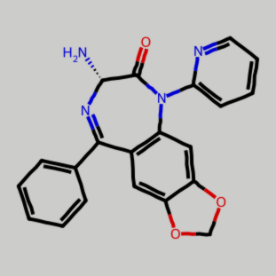 N[C@H]1N=C(c2ccccc2)c2cc3c(cc2N(c2ccccn2)C1=O)OCO3